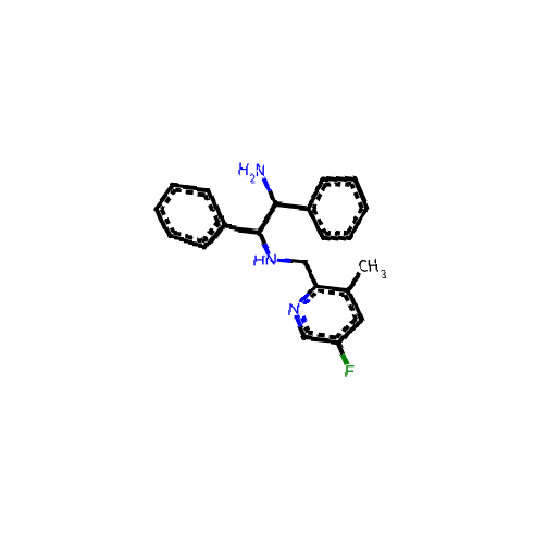 Cc1cc(F)cnc1CNC(c1ccccc1)C(N)c1ccccc1